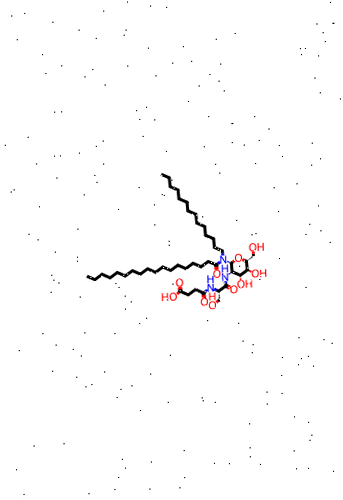 CCCCCCCCCCCCCCCCCC(=O)N(CCCCCCCCCCCCCC)[C@@H]1O[C@H](CO)[C@@H](O)[C@H](O)[C@@H]1NC(=O)[C@H](CO)NC(=O)CCC(=O)O